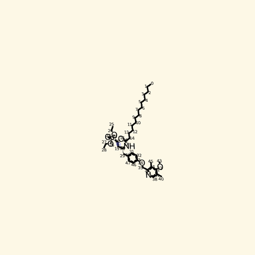 CCCCCCCCCCCCCCCC(=O)N[C@@H](/C=C/P(=O)(OCC)OCC)Cc1ccc(OCc2ncc(C)c(OC)c2C)cc1